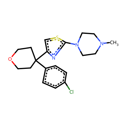 CN1CCN(c2nc(C3(c4ccc(Cl)cc4)CCOCC3)cs2)CC1